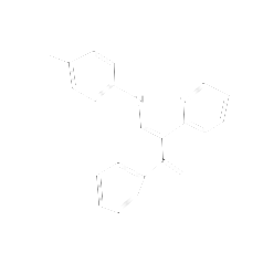 O=C(/C(=C/Nc1ccc(O)cc1)c1ccccn1)c1ccccc1